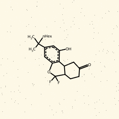 CCCCCCC(C)(C)c1cc(O)c2c(c1)OC(F)(F)C1CCC(=O)CC21